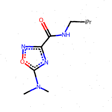 CC(C)CNC(=O)c1noc(N(C)C)n1